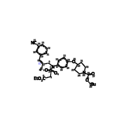 CCOC(=O)CS(=O)(=O)N(C/C(F)=C\c1cccc(C#N)c1)c1ccc(OC2CCN(C(=O)OC(C)(C)C)CC2)cc1